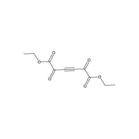 CCOC(=O)C(=O)C#CC(=O)C(=O)OCC